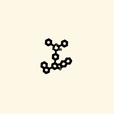 c1ccc(C2=NC(c3ccc(-c4cc(-c5cccc6ccccc56)cc5oc6cc7ccccc7cc6c45)cc3)NC(c3ccccc3)=N2)cc1